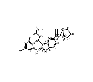 Cc1cc(C)cc(Nc2nc3ccc(NC4CC5CCC4C5)nc3n2CCCN)c1